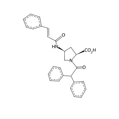 O=C(/C=C/c1ccccc1)N[C@H]1C[C@@H](C(=O)O)N(C(=O)C(c2ccccc2)c2ccccc2)C1